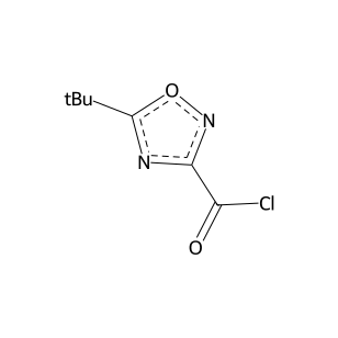 CC(C)(C)c1nc(C(=O)Cl)no1